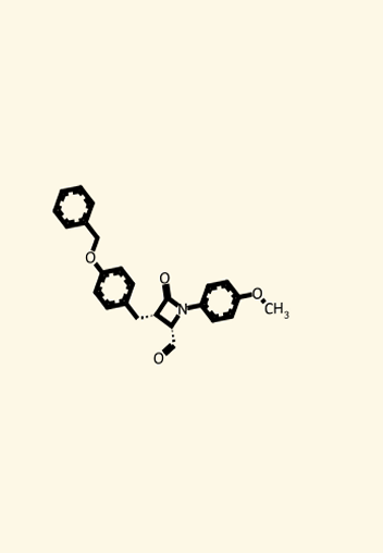 COc1ccc(N2C(=O)[C@@H](Cc3ccc(OCc4ccccc4)cc3)[C@H]2C=O)cc1